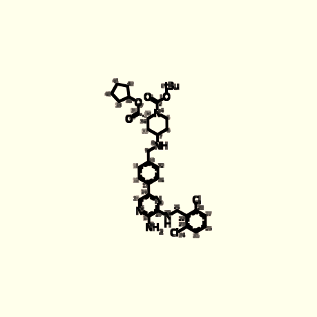 CC(C)(C)OC(=O)N1CCC(NCc2ccc(-c3cnc(N)c(NCc4c(Cl)cccc4Cl)n3)cc2)C[C@@H]1C(=O)OC1CCCC1